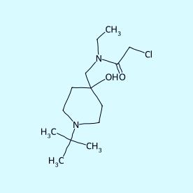 CCN(CC1(O)CCN(C(C)(C)C)CC1)C(=O)CCl